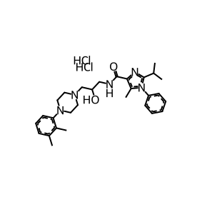 Cc1cccc(N2CCN(CC(O)CNC(=O)c3nc(C(C)C)n(-c4ccccc4)c3C)CC2)c1C.Cl.Cl